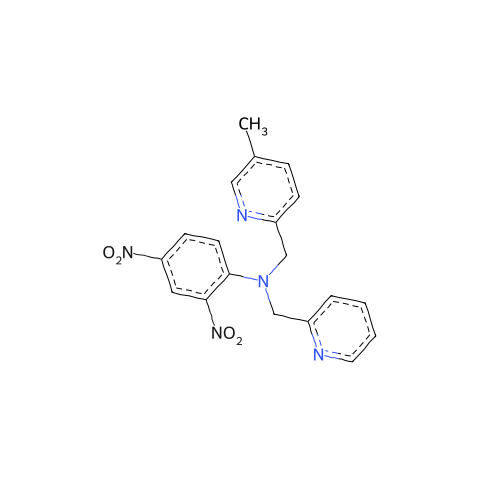 Cc1ccc(CN(Cc2ccccn2)c2ccc([N+](=O)[O-])cc2[N+](=O)[O-])nc1